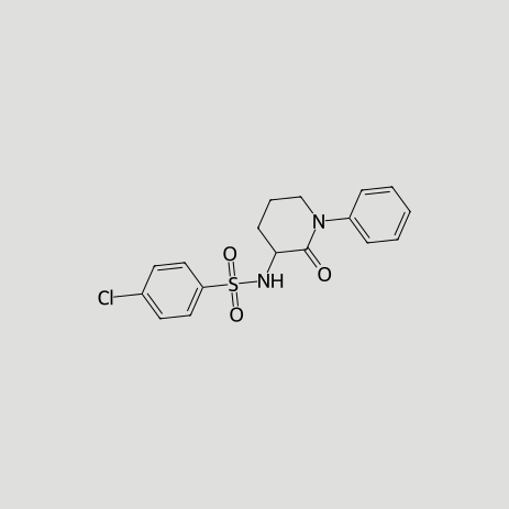 O=C1C(NS(=O)(=O)c2ccc(Cl)cc2)CCCN1c1ccccc1